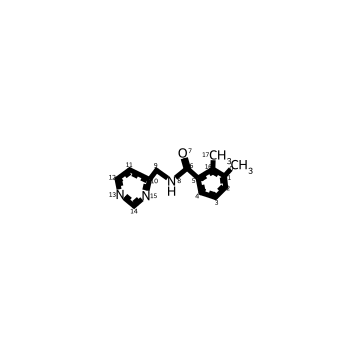 Cc1cccc(C(=O)NCc2ccncn2)c1C